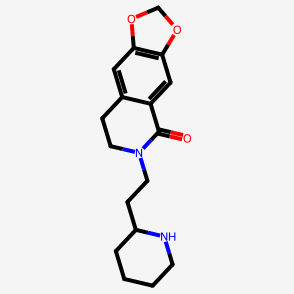 O=C1c2cc3c(cc2CCN1CCC1CCCCN1)OCO3